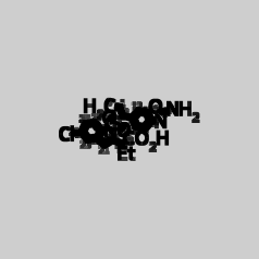 C=CC(c1ccc2nc(N)oc2c1)S(=O)(=O)n1c(C(CC)C(=O)O)cc2cc(Cl)ccc21